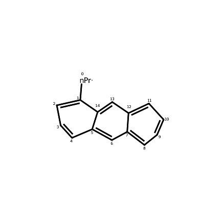 CC[CH]c1cccc2cc3ccccc3cc12